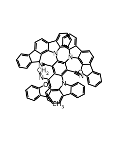 C=N/C(=C\C=C/C)c1c(C#N)c(-n2c3ccccc3c3ccc4c(c32)Cc2ccccc2-4)c(-n2c3ccccc3c3ccc4c5ccccc5oc4c32)c(C#N)c1-n1c2ccccc2c2ccc3c4ccccc4oc3c21